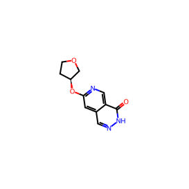 O=c1[nH]ncc2cc(O[C@H]3CCOC3)ncc12